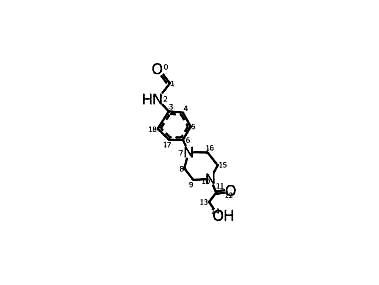 O=CNc1ccc(N2CCN(C(=O)CO)CC2)cc1